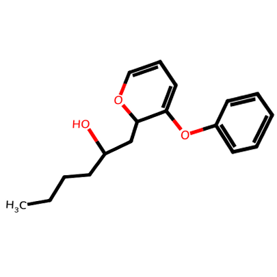 CCCCC(O)CC1OC=CC=C1Oc1ccccc1